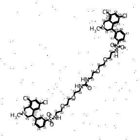 CN1Cc2c(Cl)cc(Cl)cc2C(c2cccc(S(=O)(=O)NCCOCCOCCNC(=O)NCCOCCOCCNS(=O)(=O)c3cccc(C4CN(C)Cc5c(Cl)cc(Cl)cc54)c3)c2)C1